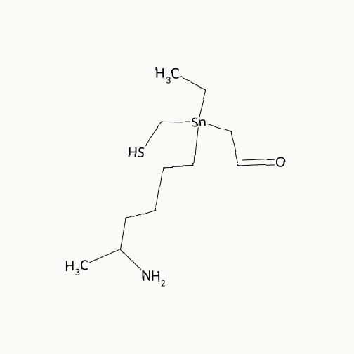 C[CH2][Sn]([CH2]S)([CH2]C=O)[CH2]CCCC(C)N